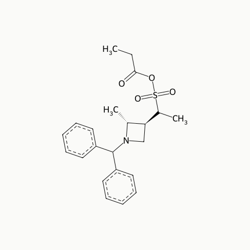 CCC(=O)OS(=O)(=O)C(C)[C@H]1CN(C(c2ccccc2)c2ccccc2)[C@@H]1C